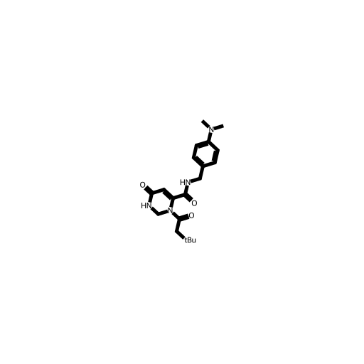 CN(C)c1ccc(CNC(=O)C2=CC(=O)NCN2C(=O)CC(C)(C)C)cc1